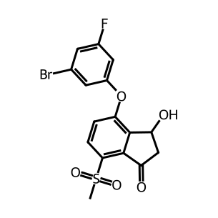 CS(=O)(=O)c1ccc(Oc2cc(F)cc(Br)c2)c2c1C(=O)CC2O